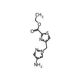 CCOC(=O)c1nc(Cn2cc(N)cn2)cs1